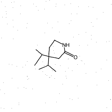 CC(C)C1(C(C)C)CCNC(=O)C1